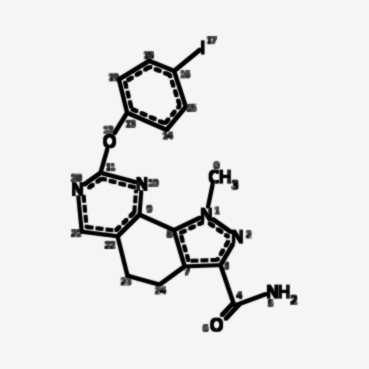 Cn1nc(C(N)=O)c2c1-c1nc(Oc3ccc(I)cc3)ncc1CC2